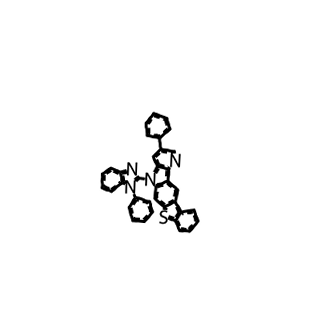 c1ccc(-c2cnc3c4cc5c(cc4n(-c4nc6ccccc6n4-c4ccccc4)c3c2)sc2ccccc25)cc1